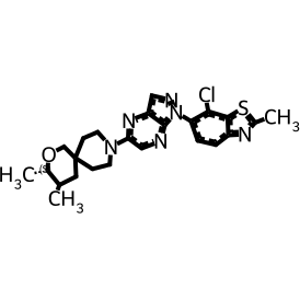 Cc1nc2ccc(-n3ncc4nc(N5CCC6(CC5)CO[C@@H](C)C(C)C6)cnc43)c(Cl)c2s1